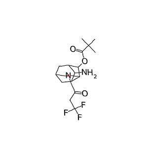 CC(C)(C)C(=O)OC1C2CC3CC(C2N)C1N(C(=O)CC(F)(F)F)C3